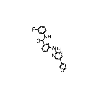 O=C(Nc1cccc(F)c1)c1cccc(Nc2ncc(-c3ccoc3)cn2)c1